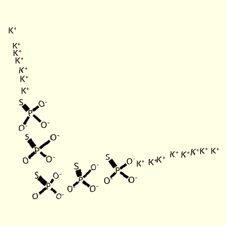 [K+].[K+].[K+].[K+].[K+].[K+].[K+].[K+].[K+].[K+].[K+].[K+].[K+].[K+].[K+].[O-]P([O-])([O-])=S.[O-]P([O-])([O-])=S.[O-]P([O-])([O-])=S.[O-]P([O-])([O-])=S.[O-]P([O-])([O-])=S